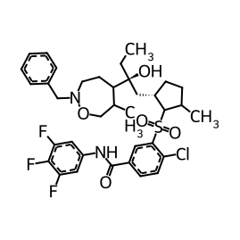 CC[C@](O)(C[C@@H]1CCC(C)C1S(=O)(=O)c1cc(C(=O)Nc2cc(F)c(F)c(F)c2)ccc1Cl)C1CCN(Cc2ccccc2)OCC1C